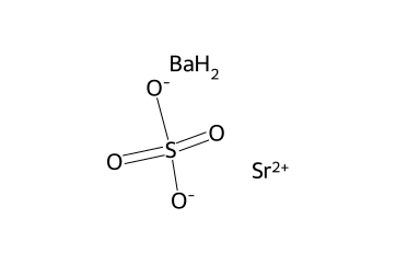 O=S(=O)([O-])[O-].[BaH2].[Sr+2]